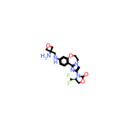 NC1(CNc2ccc3c(c2)OCCn2cc(N4C(=O)OC[C@H]4C(F)F)nc2-3)COC1